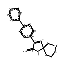 O=C1NC2(CCCOC2)N=C1c1ccc(-c2ccccn2)cc1